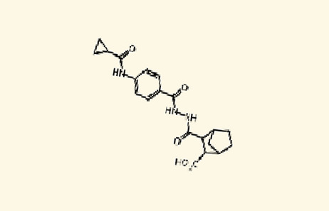 O=C(NNC(=O)C1C2CCC(C2)C1C(=O)O)c1ccc(NC(=O)C2CC2)cc1